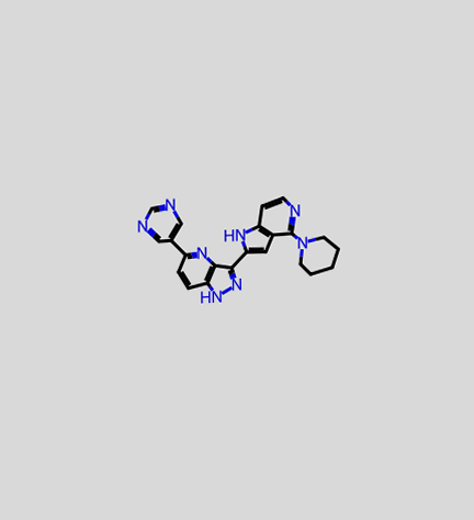 c1ncc(-c2ccc3[nH]nc(-c4cc5c(N6CCCCC6)nccc5[nH]4)c3n2)cn1